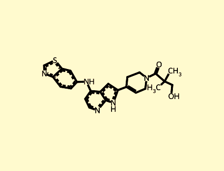 CC(C)(CO)C(=O)N1CC=C(c2cc3c(Nc4ccc5ncsc5c4)ccnc3[nH]2)CC1